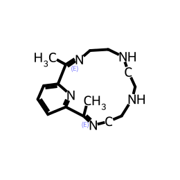 C/C1=N\CCNCCNCC/N=C(\C)c2cccc1n2